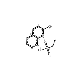 COS(=O)(=O)O.Oc1ccc2ccccc2n1